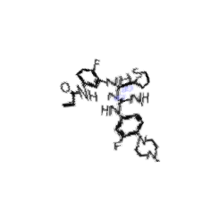 C=CC(=O)Nc1ccc(F)c(NC(/N=C(\NC)Nc2ccc(N3CCN(C)CC3)c(F)c2)=C2/CC=CS2)c1